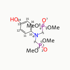 COP(=O)(CN(CP(=O)(OC)OC)c1ccc(O)cc1)OC